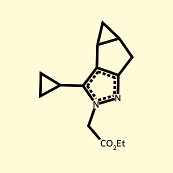 CCOC(=O)Cn1nc2c(c1C1CC1)C1CC1C2